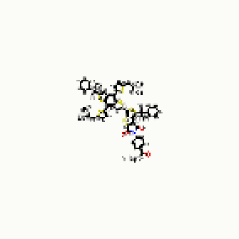 CCCCCCCC(=O)c1ccc(N2C(=O)c3sc4c(-c5cc6c(-c7ccc(CC(CC)CCCC)s7)c7sc([C@](C)(CC)c8ccccc8)cc7c(-c7ccc(CC(CC)CCCC)s7)c6s5)sc([C@@](C)(CCC)c5ccccc5)c4c3C2=O)cc1